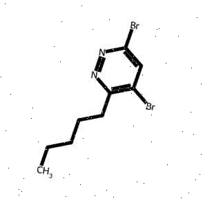 CCCCCc1nnc(Br)cc1Br